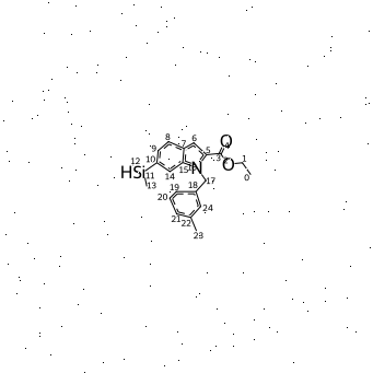 CCOC(=O)c1cc2ccc([SiH](C)C)cc2n1Cc1cccc(C)c1